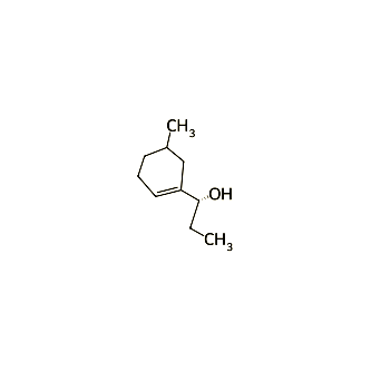 CC[C@@H](O)C1=CCCC(C)C1